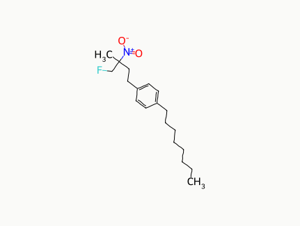 CCCCCCCCc1ccc(CCC(C)(CF)[N+](=O)[O-])cc1